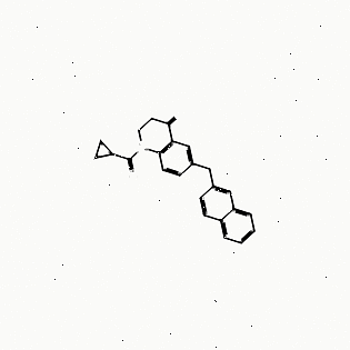 O=C1CCN(C(=O)C2CC2)c2ccc(Cc3ccc4ccccc4c3)cc21